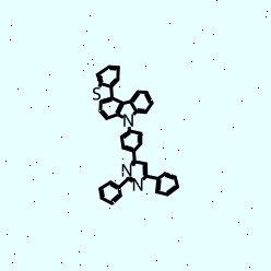 c1ccc(-c2cc(-c3ccc(-n4c5ccccc5c5c6c(ccc54)sc4ccccc46)cc3)nc(-c3ccccc3)n2)cc1